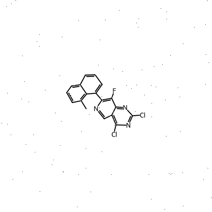 Cc1cccc2cccc(-c3ncc4c(Cl)nc(Cl)nc4c3F)c12